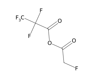 O=C(CF)OC(=O)C(F)(F)C(F)(F)F